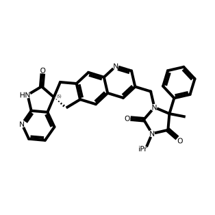 CC(C)N1C(=O)N(Cc2cnc3cc4c(cc3c2)C[C@@]2(C4)C(=O)Nc3ncccc32)C(C)(c2ccccc2)C1=O